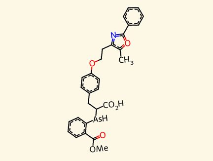 COC(=O)c1ccccc1[AsH]C(Cc1ccc(OCCc2nc(-c3ccccc3)oc2C)cc1)C(=O)O